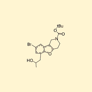 CC(O)Cc1cc(Br)cc2c3c(oc12)CCN(C(=O)OC(C)(C)C)C3